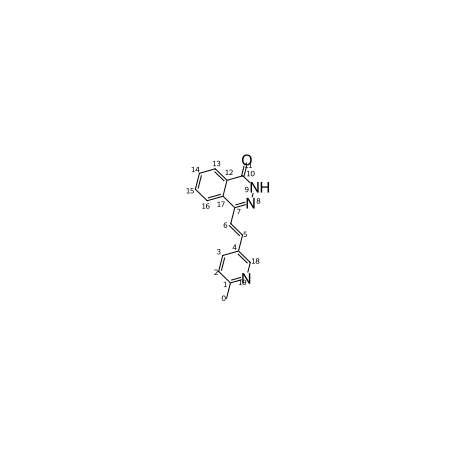 Cc1ccc(C=Cc2n[nH]c(=O)c3ccccc23)cn1